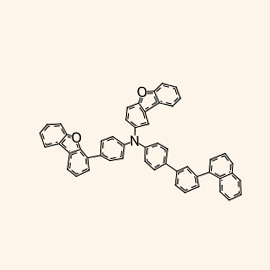 c1cc(-c2ccc(N(c3ccc(-c4cccc5c4oc4ccccc45)cc3)c3ccc4oc5ccccc5c4c3)cc2)cc(-c2cccc3ccccc23)c1